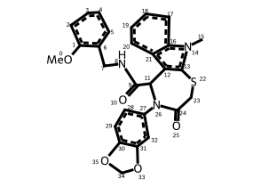 COc1ccccc1CNC(=O)C1c2c(n(C)c3ccccc23)SCC(=O)N1c1ccc2c(c1)OCO2